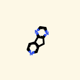 c1cc2c(cn1)Cc1nccnc1-2